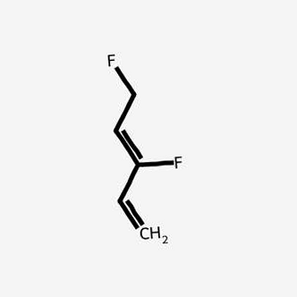 C=CC(F)=CCF